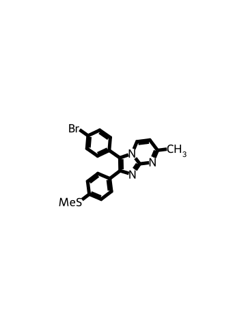 CSc1ccc(-c2nc3nc(C)ccn3c2-c2ccc(Br)cc2)cc1